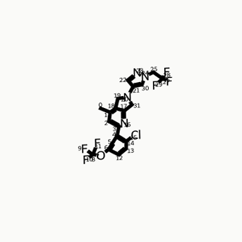 Cc1cc(-c2cc(OC(F)(F)F)ccc2Cl)nc2c1CN(c1cnn(CC(F)(F)F)c1)C2